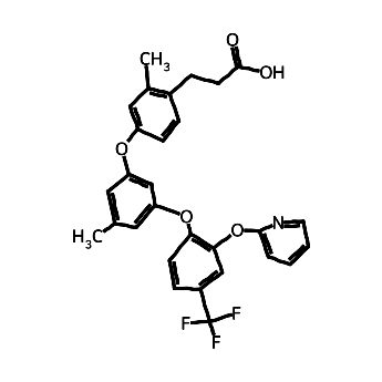 Cc1cc(Oc2ccc(CCC(=O)O)c(C)c2)cc(Oc2ccc(C(F)(F)F)cc2Oc2ccccn2)c1